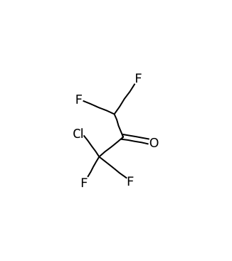 O=C(C(F)F)C(F)(F)Cl